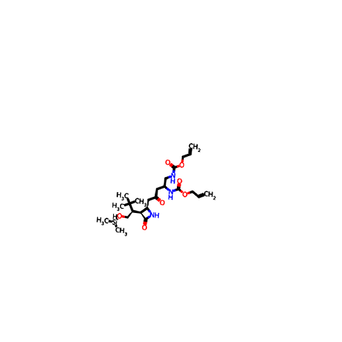 C=CCOC(=O)NCC(CC(=O)C[C@H]1NC(=O)[C@H]1[C@@H](CO[SiH](C)C)C(C)(C)C)NC(=O)OCC=C